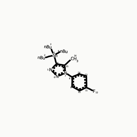 CCC[CH2][Sn]([CH2]CCC)([CH2]CCC)[c]1nnn(-c2ccc(F)cc2)c1C